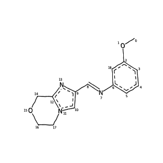 COc1cccc(N=Cc2cn3c(n2)COCC3)c1